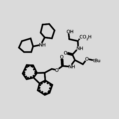 C1CCC(NC2CCCCC2)CC1.CC(C)(C)OCC(NC(=O)OCC1c2ccccc2-c2ccccc21)C(=O)N[C@@H](CO)C(=O)O